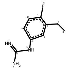 CCc1cc(NC(=N)N)ccc1F